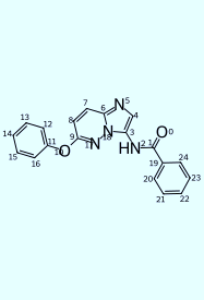 O=C(Nc1cnc2ccc(Oc3ccccc3)nn12)c1ccccc1